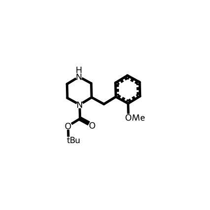 COc1ccccc1CC1CNCCN1C(=O)OC(C)(C)C